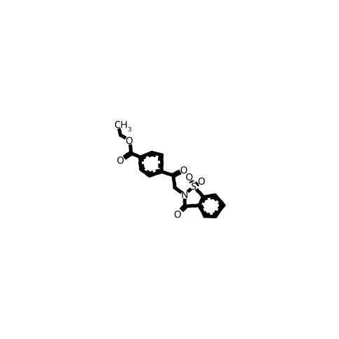 CCOC(=O)c1ccc(C(=O)CN2C(=O)c3ccccc3S2(=O)=O)cc1